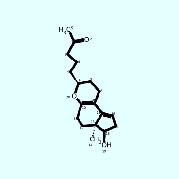 CC(=O)CCC[C@H]1CCC2=C(CC[C@@]3(C)C2=CCC3O)O1